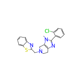 Cn1c(-c2ccccc2Cl)nc2c1CN(Cc1nc3ccccc3s1)CC2